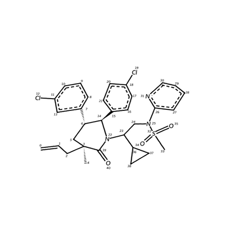 C=CC[C@@]1(C)C[C@H](c2cccc(Cl)c2)[C@@H](c2ccc(Cl)cc2)N(C(CN(c2ccccn2)S(C)(=O)=O)C2CC2)C1=O